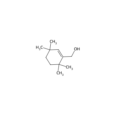 CC1(C)C=C(CO)C(C)(C)CC1